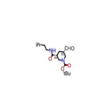 CC(C)CCNC(=O)[C@H]1C[C@H](C=O)CN(C(=O)OC(C)(C)C)C1